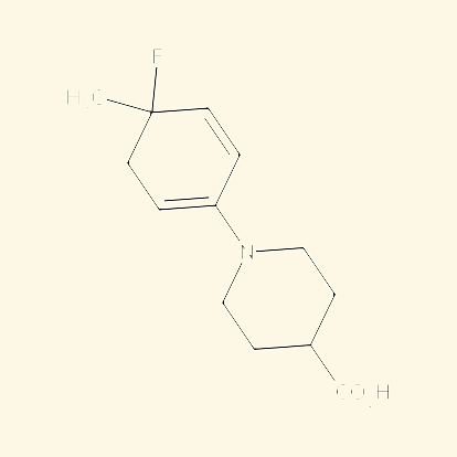 CC1(F)C=CC(N2CCC(C(=O)O)CC2)=CC1